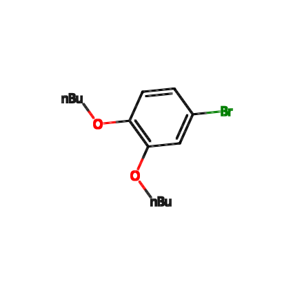 CCCCOc1ccc(Br)cc1OCCCC